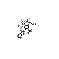 CCCN1C(=O)OC(C)(C)c2cc(NC(=O)c3cccnc3)c([N+](=O)[O-])cc21